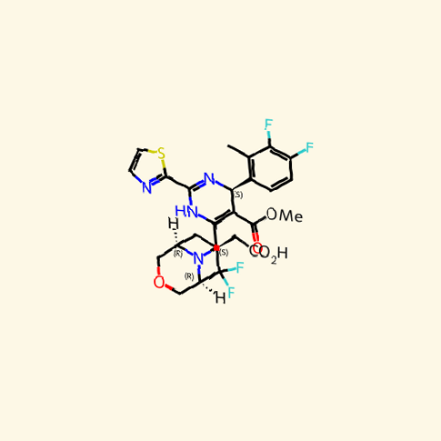 COC(=O)C1=C(CN2[C@H]3COC[C@@H]2C(F)(F)[C@H](CC(=O)O)C3)NC(c2nccs2)=N[C@H]1c1ccc(F)c(F)c1C